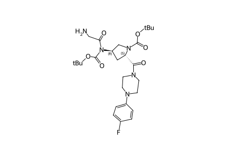 CC(C)(C)OC(=O)N1C[C@H](N(C(=O)CN)C(=O)OC(C)(C)C)C[C@H]1C(=O)N1CCN(c2ccc(F)cc2)CC1